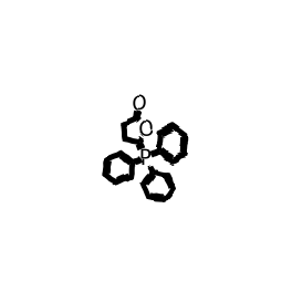 O=C1CCC(=P(c2ccccc2)(c2ccccc2)c2ccccc2)O1